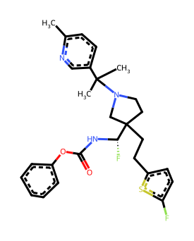 Cc1ccc(C(C)(C)N2CCC(CCc3ccc(F)s3)([C@H](F)NC(=O)Oc3ccccc3)C2)cn1